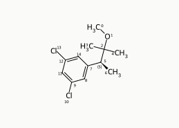 COC(C)(C)[C@@H](C)c1cc(Cl)cc(Cl)c1